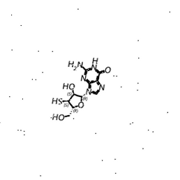 Nc1nc2c(ncn2[C@@H]2O[C@H](CO)[C@@H](S)[C@H]2O)c(=O)[nH]1